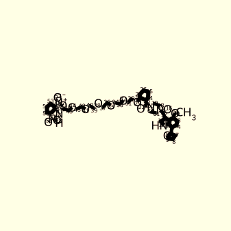 COc1ccc(-c2ccco2)c2[nH]cc(C(=O)N3CCN(C(=O)c4ccccc4OCCOCCOCCOCCOCCOCCNc4c([N+](=O)[O-])cccc4[N+](=O)[O-])CC3)c12